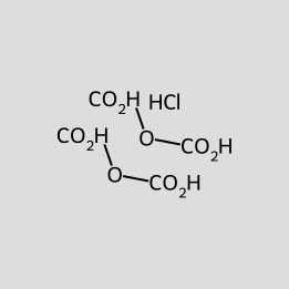 Cl.O=C(O)OC(=O)O.O=C(O)OC(=O)O